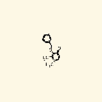 Cc1c(OCc2ccccc2)c(=O)ccn1C